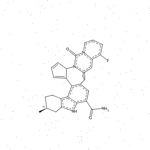 C[C@H]1CCc2c([nH]c3c(C(N)=O)cc(F)c(C4=CC=CC4n4c(=O)cc5c(F)cccn5c4=O)c23)C1